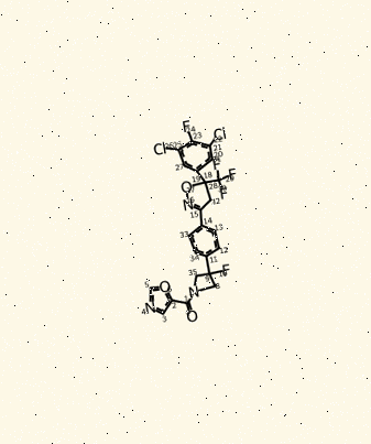 O=C(c1cnco1)N1CC(F)(c2ccc(C3=NOC(c4cc(Cl)c(F)c(Cl)c4)(C(F)(F)F)C3)cc2)C1